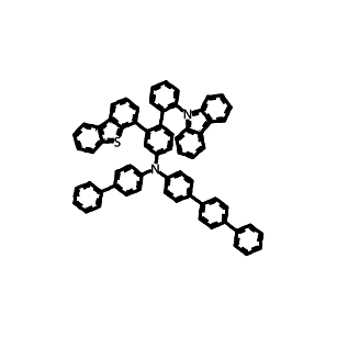 c1ccc(-c2ccc(-c3ccc(N(c4ccc(-c5ccccc5)cc4)c4ccc(-c5ccccc5-n5c6ccccc6c6ccccc65)c(-c5cccc6c5sc5ccccc56)c4)cc3)cc2)cc1